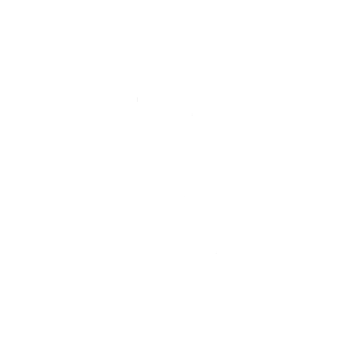 COCCSCCCOCC(COC)OC